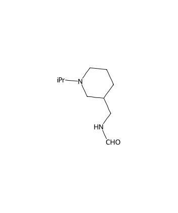 CC(C)N1CCCC(CNC=O)C1